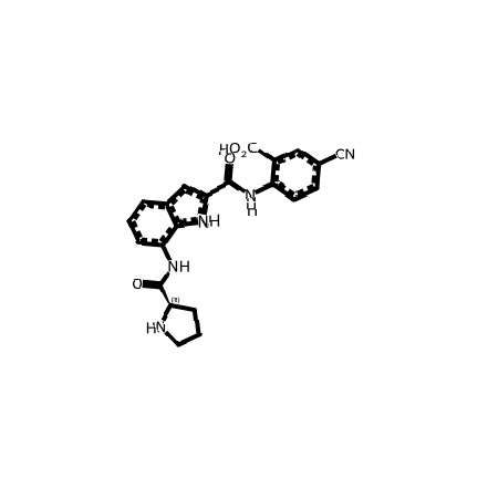 N#Cc1ccc(NC(=O)c2cc3cccc(NC(=O)[C@H]4CCCN4)c3[nH]2)c(C(=O)O)c1